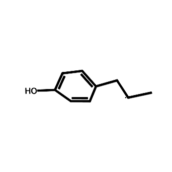 C[CH]Cc1ccc(O)cc1